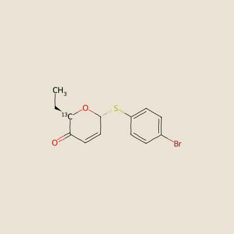 CC[13C@H]1O[C@H](Sc2ccc(Br)cc2)C=CC1=O